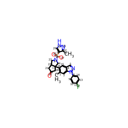 Cc1cc2c(cnn2-c2ccc(F)cc2)cc1C12CC(=O)CC1CN(S(=O)(=O)c1c[nH]nc1C)C2